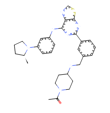 CC(=O)N1CCC(NCc2cccc(-c3nc(Nc4cccc(N5CCC[C@@H]5C)c4)c4ncsc4n3)c2)CC1